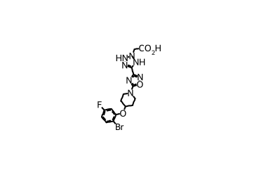 O=C(O)CN1NN=C(c2noc(N3CCC(Oc4cc(F)ccc4Br)CC3)n2)N1